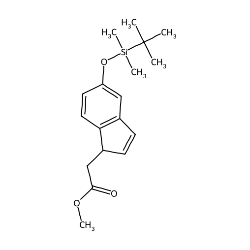 COC(=O)CC1C=Cc2cc(O[Si](C)(C)C(C)(C)C)ccc21